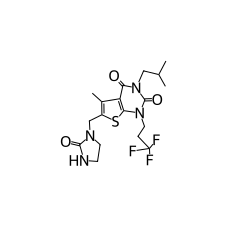 Cc1c(CN2CCNC2=O)sc2c1c(=O)n(CC(C)C)c(=O)n2CCC(F)(F)F